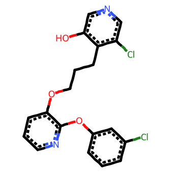 Oc1cncc(Cl)c1CCCOc1cccnc1Oc1cccc(Cl)c1